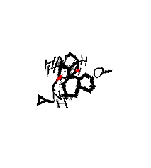 COc1ccc2c(c1)[C@]13CCN(CC4CC4)[C@H](C2)[C@]12CC[C@H]1NC[C@@H](C2)[C@H]13